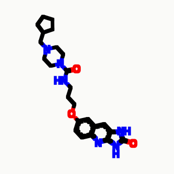 O=C(NCCCOc1ccc2nc3[nH]c(=O)[nH]c3cc2c1)N1CCN(CC2CCCC2)CC1